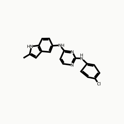 Cc1cc2cc(Nc3ccnc(Nc4ccc(Cl)cc4)n3)ccc2[nH]1